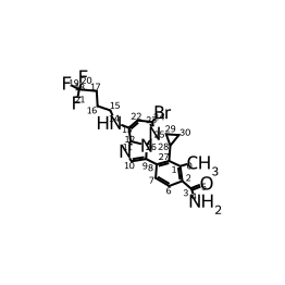 Cc1c(C(N)=O)ccc(-c2cnc3c(NCCCC(F)(F)F)cc(Br)nn23)c1C1CC1